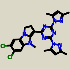 Cc1cc(C)n(-c2nc(C3=C4N(C)c5cc(Cl)c(Cl)cc5N4CC3)nc(-n3nc(C)cc3C)n2)n1